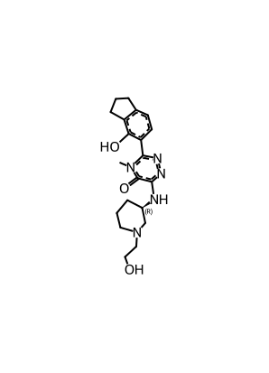 Cn1c(-c2ccc3c(c2O)CCC3)nnc(N[C@@H]2CCCN(CCO)C2)c1=O